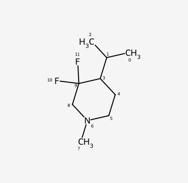 CC(C)C1CCN(C)CC1(F)F